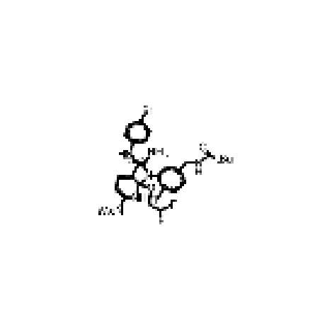 CNC1=CC=C(C(=O)Nc2ccc(Br)cc2)C(OCC(F)F)(N(C(N)=S)c2cc(CNC(=O)C(C)(C)C)ccc2Cl)N1